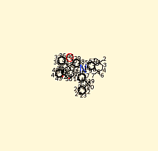 CC1(C)CCC(C)(C)c2cc(N(c3ccc4c(c3)C(C)(C)c3ccccc3-4)c3ccc4c(c3)C3(c5c(cccc5-c5ccccc5)O4)C4CC5CC6CC3C64C5)ccc21